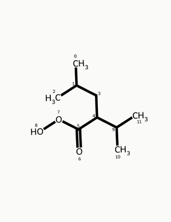 CC(C)CC(C(=O)OO)C(C)C